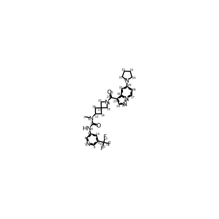 CN(C(=O)Nc1cncc(C(F)(F)F)c1)C1CC2(C1)CN(C(=O)c1cnn3ccc(N4CCCC4)cc13)C2